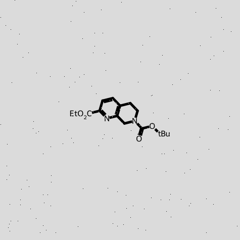 CCOC(=O)c1ccc2c(n1)CN(C(=O)OC(C)(C)C)CC2